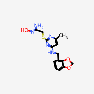 Cc1cc(NCc2cccc3c2OCO3)nc(SCC(N)=NO)n1